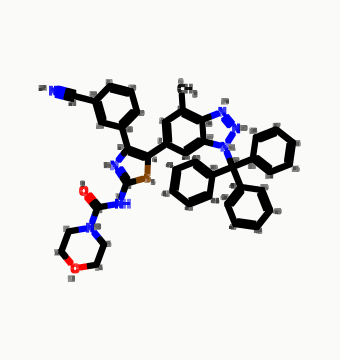 Cc1cc(-c2sc(NC(=O)N3CCOCC3)nc2-c2cccc(C#N)c2)cc2c1nnn2C(c1ccccc1)(c1ccccc1)c1ccccc1